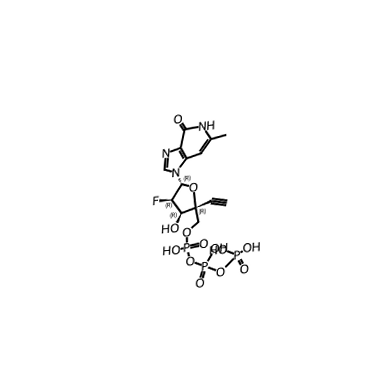 C#C[C@]1(COP(=O)(O)OP(=O)(O)OP(=O)(O)O)O[C@@H](n2cnc3c(=O)[nH]c(C)cc32)[C@H](F)[C@@H]1O